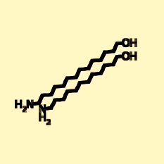 NCCCCCCCCCCCCCCO.NCCCCCCCCCCCCO